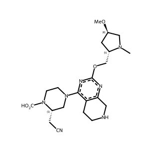 CO[C@@H]1C[C@@H](COc2nc3c(c(N4CCN(C(=O)O)[C@@H](CC#N)C4)n2)CCNC3)N(C)C1